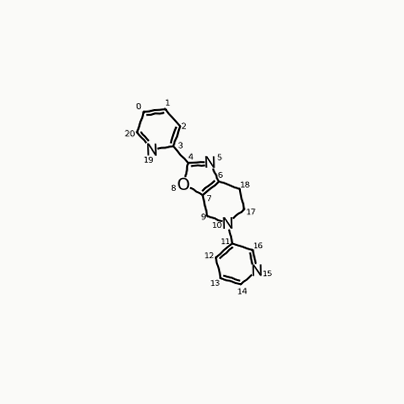 c1ccc(-c2nc3c(o2)CN(c2cccnc2)CC3)nc1